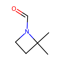 CC1(C)CCN1C=O